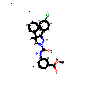 CC(C)OC(=O)c1cccc(NC(=O)N2CC(C)(c3ccccc3)C(c3ccc(Cl)cc3)=N2)c1